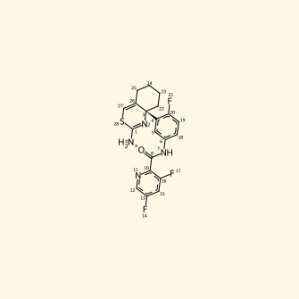 NC1=N[C@@]2(c3cc(NC(=O)c4ncc(F)cc4F)ccc3F)CCCCC2=CS1